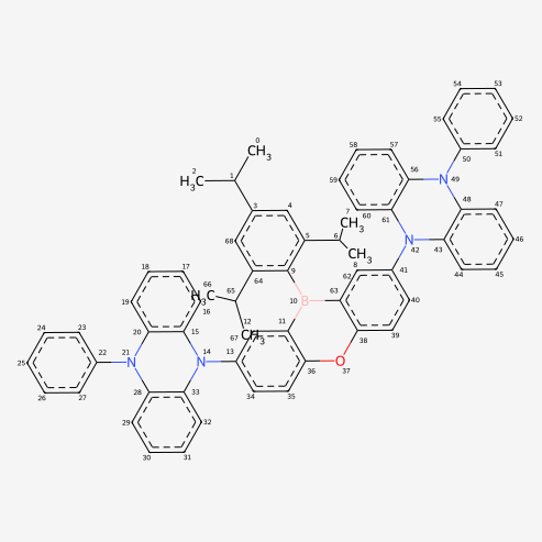 CC(C)c1cc(C(C)C)c(B2c3cc(N4c5ccccc5N(c5ccccc5)c5ccccc54)ccc3Oc3ccc(N4c5ccccc5N(c5ccccc5)c5ccccc54)cc32)c(C(C)C)c1